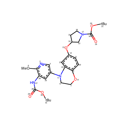 COc1ncc(N2CCOc3ccc(OC4CCN(C(=O)OC(C)(C)C)C4)cc32)cc1NC(=O)OC(C)(C)C